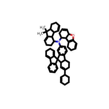 CC1(C)C2=CCCC(N(c3ccc4c(c3)C3(C5=CCCC=C5c5ccccc53)C3C=C(C5C=CCCC5)CCC43)C3CC=CC4OC5=C(CCC=C5)C43)C2C2C=CCCC21